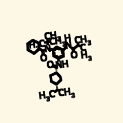 CC(C)C(=O)Nc1cc(NC(=O)[C@H]2CC[C@@H](C(C)C)CC2)cc(N(C(=O)C2CCCCC2)C(C)(C)C)c1